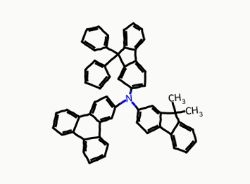 CC1(C)c2ccccc2-c2ccc(N(c3ccc4c(c3)C(c3ccccc3)(c3ccccc3)c3ccccc3-4)c3ccc4c5ccccc5c5ccccc5c4c3)cc21